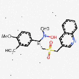 COc1ccc([C@@H](CS(=O)(=O)Cc2cnc3ccccc3c2)N(O)C=O)cc1C(=O)O